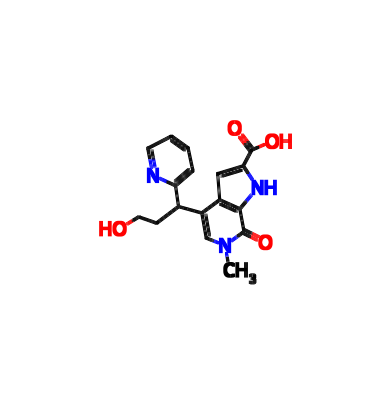 Cn1cc(C(CCO)c2ccccn2)c2cc(C(=O)O)[nH]c2c1=O